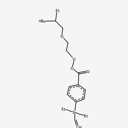 C=C[Si](CC)(CC)c1ccc(C(=O)OO[CH]COCC(CC)CCCC)cc1